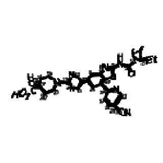 CCNC(=O)Nc1nc2cc(-c3cnc(N4CCC(C)(C(=O)O)CC4)nc3)cc(-c3ccc(C#N)cn3)c2s1